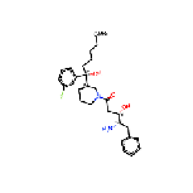 COCCCC[C@@](O)(c1cccc(F)c1)[C@@H]1CCCN(C(=O)C[C@H](O)[C@@H](N)Cc2ccccc2)C1